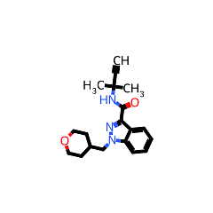 C#CC(C)(C)NC(=O)c1nn(CC2CCOCC2)c2ccccc12